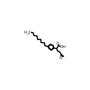 CCCCCCCCCc1ccc(C(CCC2CO2)C(=O)O)cc1